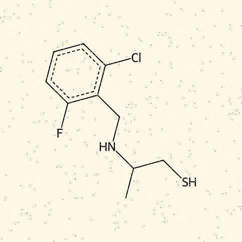 CC(CS)NCc1c(F)cccc1Cl